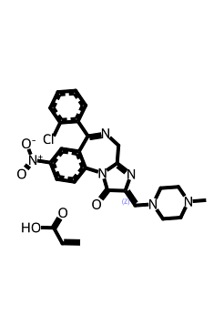 C=CC(=O)O.CN1CCN(/C=C2\N=C3CN=C(c4ccccc4Cl)c4cc([N+](=O)[O-])ccc4N3C2=O)CC1